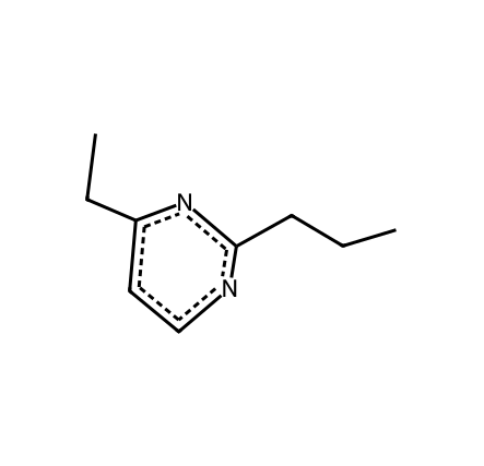 CCCc1nccc(CC)n1